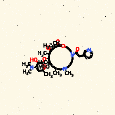 CO[C@]1(C)C[C@@H](C)CN(C)CCCN(C(=O)Cc2cccnc2)CCOC(=O)C(C)(C)C(=O)[C@H](C)[C@H]1O[C@@H]1O[C@H](C)C[C@H](N(C)C)[C@H]1O